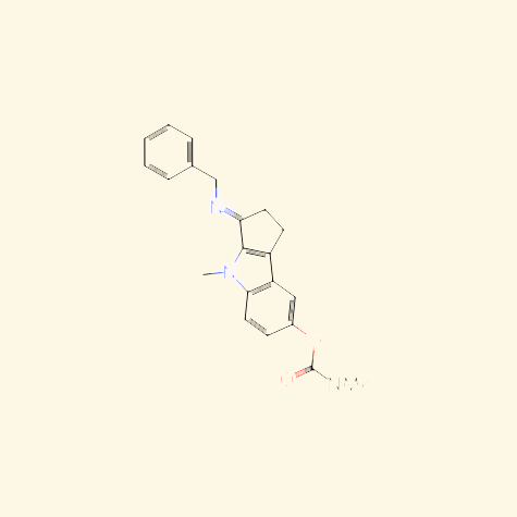 CNC(=O)Oc1ccc2c(c1)c1c(n2C)C(=NCc2ccccc2)CC1